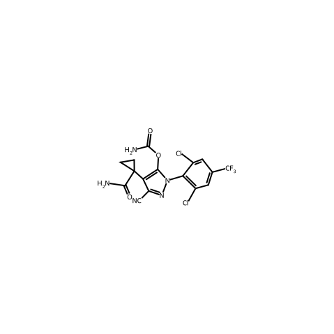 N#Cc1nn(-c2c(Cl)cc(C(F)(F)F)cc2Cl)c(OC(N)=O)c1C1(C(N)=O)CC1